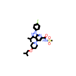 CC(C)COC1CCN(c2cc(C(=O)NS(C)(=O)=O)nc3c2c(C(C)C)nn3-c2ccc(F)cc2)CC1